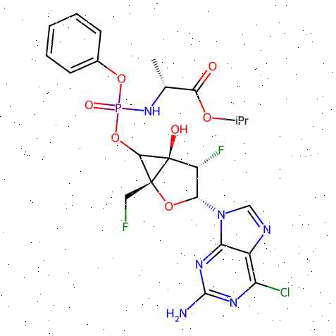 CC(C)OC(=O)[C@@H](C)NP(=O)(Oc1ccccc1)OC1[C@@]2(CF)O[C@@H](n3cnc4c(Cl)nc(N)nc43)[C@@H](F)[C@@]12O